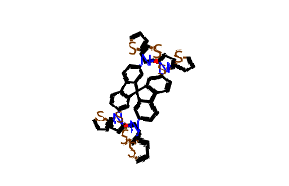 c1csc(N(c2ccc3c(c2)C2(c4cc(N(c5cccs5)c5cccs5)ccc4-3)c3cc(N(c4cccs4)c4cccs4)ccc3-c3ccc(N(c4cccs4)c4cccs4)cc32)c2cccs2)c1